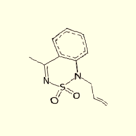 C=CCN1c2ccccc2C(C)=NS1(=O)=O